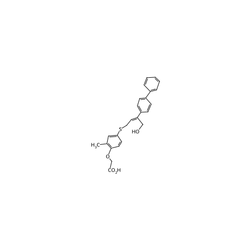 Cc1cc(SC/C=C(\CO)c2ccc(-c3ccccc3)cc2)ccc1OCC(=O)O